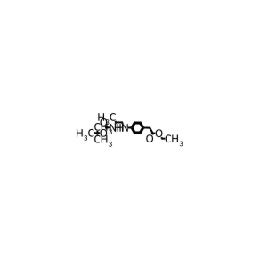 CCOC(=O)Cc1ccc(NCC(C)NC(=O)OC(C)(C)C)cc1